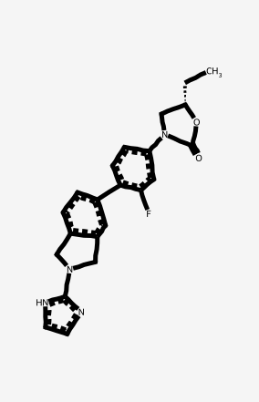 CC[C@H]1CN(c2ccc(-c3ccc4c(c3)CN(c3ncc[nH]3)C4)c(F)c2)C(=O)O1